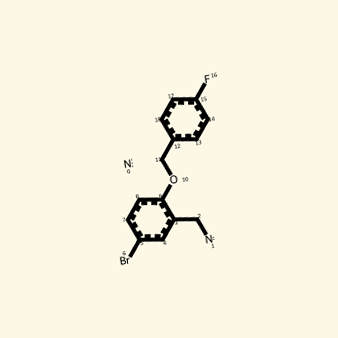 [N].[N]Cc1cc(Br)ccc1OCc1ccc(F)cc1